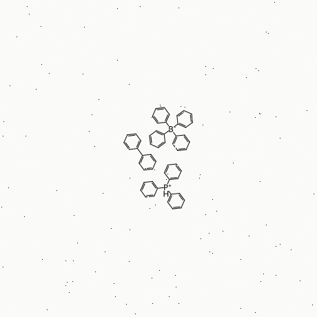 c1ccc(-c2ccccc2)cc1.c1ccc([B-](c2ccccc2)(c2ccccc2)c2ccccc2)cc1.c1ccc([PH+](c2ccccc2)c2ccccc2)cc1